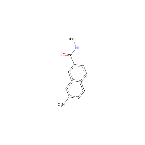 CC(C)NC(=O)c1ccc2ccc([N+](=O)[O-])cc2c1